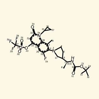 Cc1c(N2CCC([C@H](C)NC(=O)OC(C)(C)C)C2)c(F)cc2c(OS(=O)(=O)C(F)(F)F)cc(=O)n(C3CC3)c12